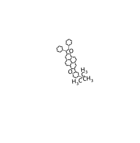 CC(C)(C)c1ccc2oc3c(cc4ccc5c6oc(-c7ccccc7)c(-c7ccccc7)c6cc6ccc3c4c65)c2c1